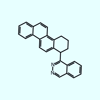 c1ccc2c(C3CCCc4c3ccc3c4ccc4ccccc43)nncc2c1